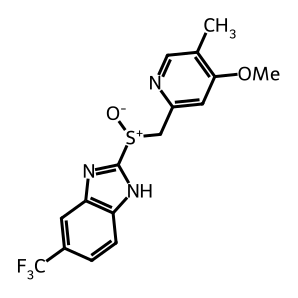 COc1cc(C[S+]([O-])c2nc3cc(C(F)(F)F)ccc3[nH]2)ncc1C